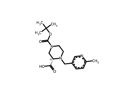 Cc1ccc(CN2CCN(C(=O)OC(C)(C)C)C[C@H]2C(=O)O)cn1